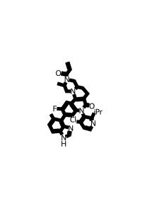 C=CC(=O)N1CC2CCc3c(c4cc(F)c(-c5c(C)ccc6[nH]cnc56)c(Cl)c4n(-c4c(C)ccnc4C(C)C)c3=O)N2CC1C